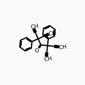 C#CC(C#C)(C(=O)C(C#C)(C#C)c1ccccc1)c1ccccc1